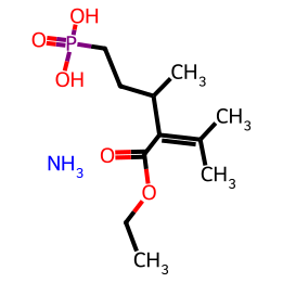 CCOC(=O)C(=C(C)C)C(C)CCP(=O)(O)O.N